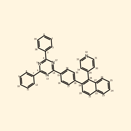 c1ccc(-c2nc(-c3ccccc3)nc(-c3ccc(-c4ccc5ccccc5c4-c4ccncc4)cc3)n2)cc1